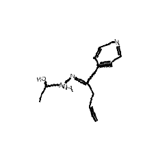 C=CC/C(=N\NC(C)O)c1ccncc1